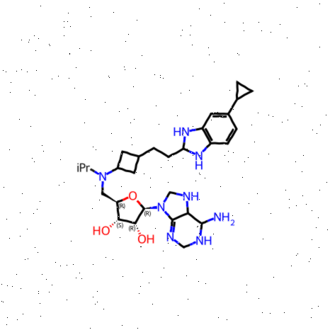 CC(C)N(C[C@H]1O[C@@H](N2CNC3C2=NCNC3N)[C@H](O)[C@@H]1O)C1CC(CCC2Nc3ccc(C4CC4)cc3N2)C1